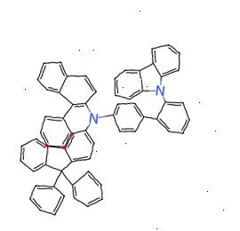 c1ccc(-c2c(N(c3ccc(-c4ccccc4-n4c5ccccc5c5ccccc54)cc3)c3ccc4c(c3)-c3ccccc3C4(c3ccccc3)c3ccccc3)ccc3ccccc23)cc1